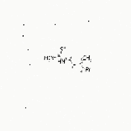 CCCC(C)CCNC(N)=S